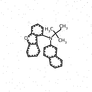 CCC(C)(C)N(c1ccc2ccccc2c1)c1cccc2oc3ccccc3c12